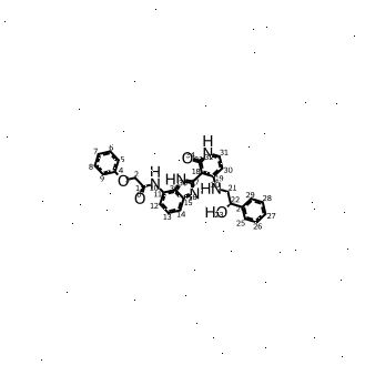 O=C(COc1ccccc1)Nc1cccc2nc(-c3c(NC[C@H](O)c4ccccc4)cc[nH]c3=O)[nH]c12